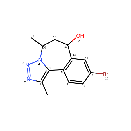 Cc1nnn2c1-c1ccc(Br)cc1C(O)CC2C